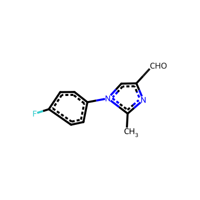 Cc1nc(C=O)cn1-c1ccc(F)cc1